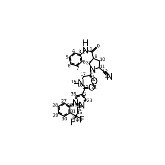 C=C(Nc1ccccc1)C1CC(C#N)N(C(=O)CN(C)C(=O)c2cnn(-c3ccccc3C(F)(F)F)c2)C1